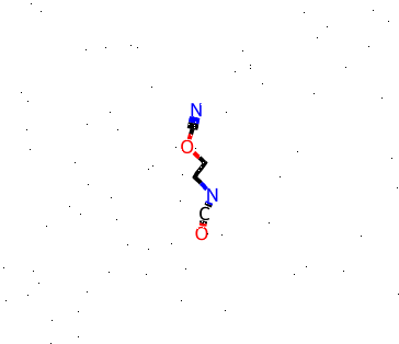 N#COCCN=C=O